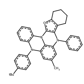 Cc1cc2c3c(c1)N(c1ccccc1)c1c(oc4c1CCCC4)B3c1ccccc1N2c1ccc(C(C)(C)C)cc1